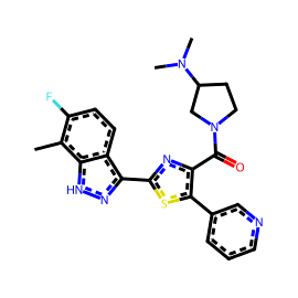 Cc1c(F)ccc2c(-c3nc(C(=O)N4CCC(N(C)C)C4)c(-c4cccnc4)s3)n[nH]c12